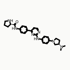 CN(C)[C@H]1CCN(c2ccc(Nc3nccc(-c4ccc(NC(=O)[C@H]5CCCN5)cc4)n3)cc2)C1